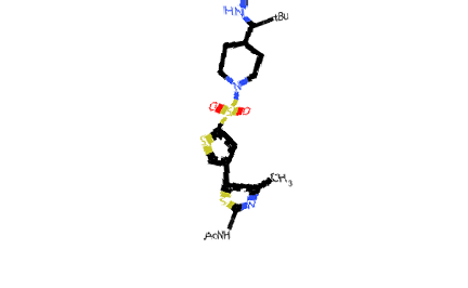 CC(=O)Nc1nc(C)c(-c2csc(S(=O)(=O)N3CCC(C(NC(=O)O)C(C)(C)C)CC3)c2)s1